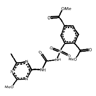 COC(=O)c1ccc(C(=O)OC)c(S(=O)(=O)NC(=O)Nc2nc(C)nc(OC)n2)c1